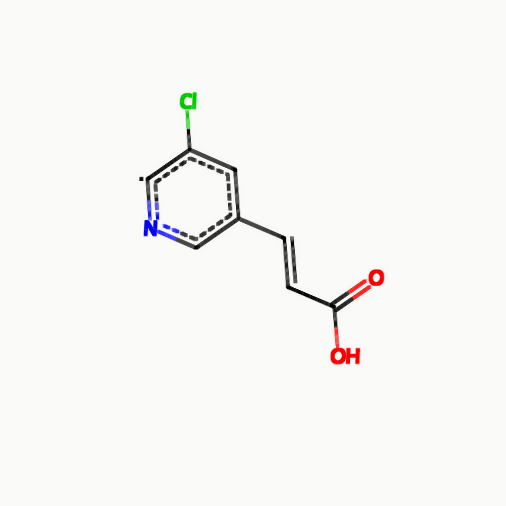 O=C(O)C=Cc1cn[c]c(Cl)c1